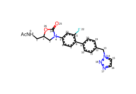 CC(=O)NCC1CN(c2ccc(-c3ccc(Cn4ccnn4)cc3)c(F)c2)C(=O)O1